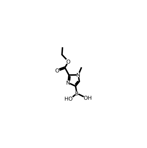 CCOC(=O)c1nc(B(O)O)cn1C